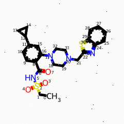 CCS(=O)(=O)NC(=O)c1ccc(C2CC2)cc1N1CCN(Cc2nc3ccccc3s2)CC1